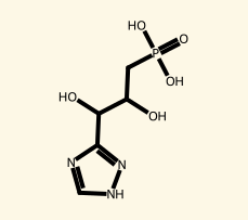 O=P(O)(O)CC(O)C(O)c1nc[nH]n1